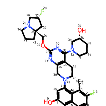 CCc1c(F)ccc2cc(O)cc(N3CCc4c(nc(OC[C@@]56CCCN5C[C@H](F)C6)nc4N4CCC[C@@H](O)C4)C3)c12